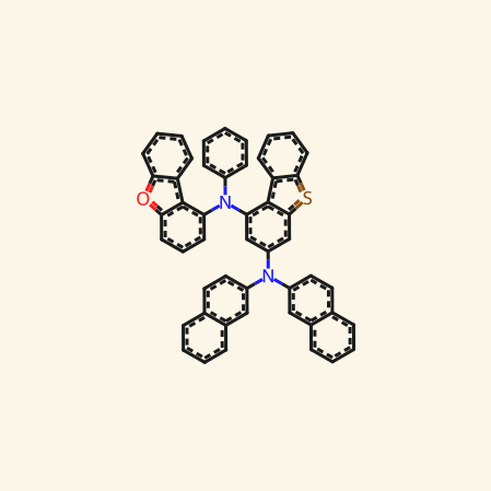 c1ccc(N(c2cccc3oc4ccccc4c23)c2cc(N(c3ccc4ccccc4c3)c3ccc4ccccc4c3)cc3sc4ccccc4c23)cc1